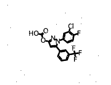 O=C(O)Oc1cc(-c2cccc(C(F)(F)F)c2)n(-c2ccc(F)c(Cl)c2)n1